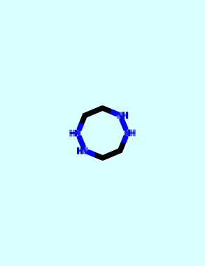 C1CNNCCNN1